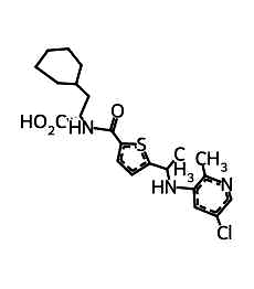 Cc1ncc(Cl)cc1NC(C)c1ccc(C(=O)N[C@@H](CC2CCCCC2)C(=O)O)s1